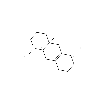 CCCN1CCC[C@@H]2CC3=C(CCC[C@H]3O)C[C@H]21